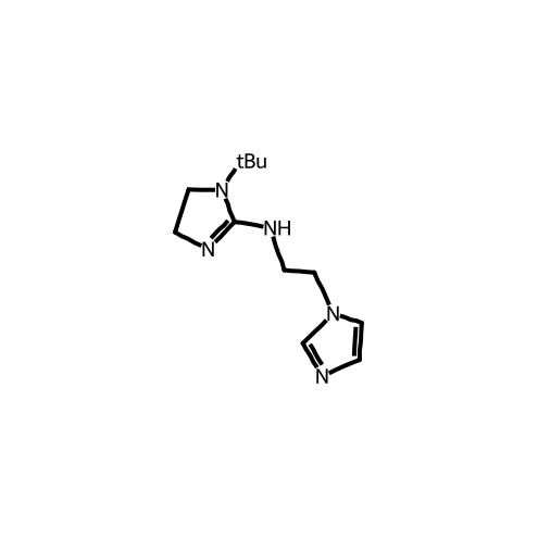 CC(C)(C)N1CCN=C1NCCn1ccnc1